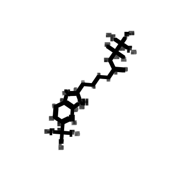 C=C(CCCCc1nc2ccc(C(F)(F)F)nc2[nH]1)CC(C)(C)C(F)(F)F